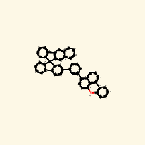 c1cc(-c2ccc3c(c2)C2(c4ccccc4-3)c3ccccc3-c3cc4ccccc4cc32)cc(-c2ccc3c4c(cccc24)-c2ccccc2O3)c1